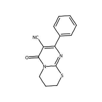 N#Cc1c(-c2ccccc2)nc2n(c1=O)CCCS2